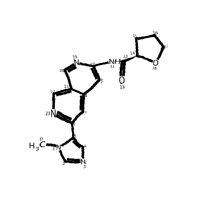 Cn1cncc1-c1cc2cc(NC(=O)[C@H]3CCCO3)ncc2cn1